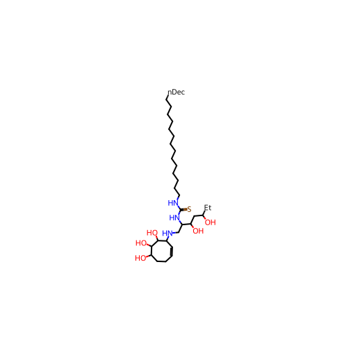 CCCCCCCCCCCCCCCCCCCCCCCCNC(=S)NC(CNC1/C=C\CCC(O)C(O)C1O)C(O)CC(O)CC